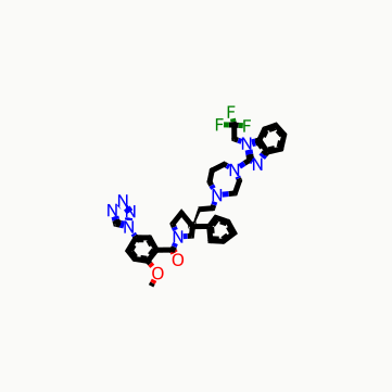 COc1ccc(-n2cnnn2)cc1C(=O)N1CC[C@](CCN2CCCN(c3nc4ccccc4n3CC(F)(F)F)CC2)(c2ccccc2)C1